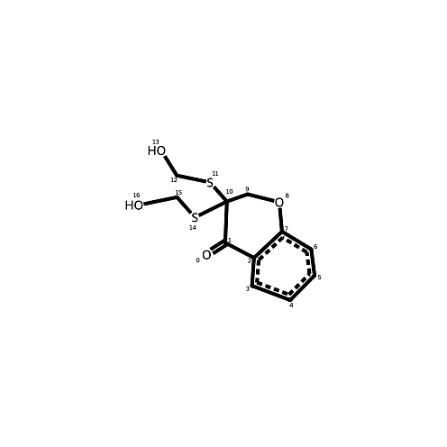 O=C1c2ccccc2OCC1(SCO)SCO